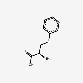 N[C@H](CSc1ccccc1)C(=O)O